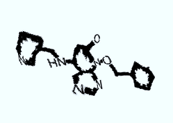 O=c1cc(NCc2cccnc2)c2cncnc2n1OCc1ccccc1